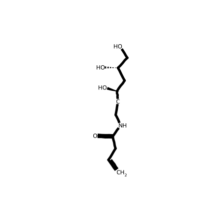 C=CCC(=O)NCC[C@@H](O)C[C@H](O)CO